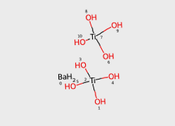 [BaH2].[OH][Ti]([OH])([OH])[OH].[OH][Ti]([OH])([OH])[OH]